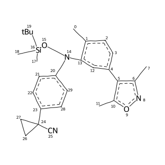 Cc1ccc(-c2c(C)noc2C)cc1N(O[Si](C)(C)C(C)(C)C)c1ccc(C2(C#N)CC2)cc1